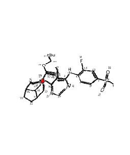 Cc1c(Nc2ccc(S(C)(=O)=O)cc2F)ncnc1OC1C2CCC1CN(C(=O)OCC(C)(C)C)C2